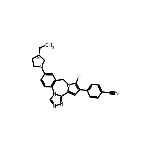 CC[C@@H]1CCN(c2ccc3c(c2)Cn2c(cc(-c4ccc(C#N)cc4)c2Cl)-c2nncn2-3)C1